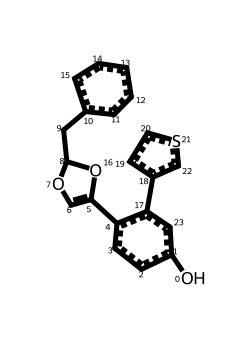 Oc1ccc(C2=COC(Cc3ccccc3)O2)c(-c2ccsc2)c1